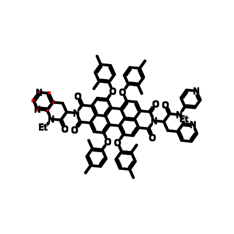 CCN(C(=O)C(Cc1cccnc1)N1C(=O)c2cc(Oc3ccc(C)cc3C)c3c4c(Oc5ccc(C)cc5C)cc5c6c(cc(Oc7ccc(C)cc7C)c(c7c(Oc8ccc(C)cc8C)cc(c2c37)C1=O)c64)C(=O)N(C(Cc1cccnc1)C(=O)N(CC)c1ccncc1)C5=O)c1ccncc1